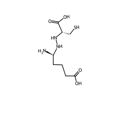 N[C@H](CCCC(=O)O)NN[C@@H](CS)C(=O)O